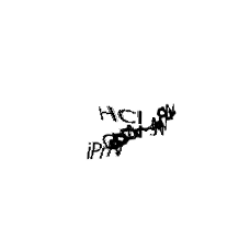 Cc1ccc2c(-c3nnc(SCCCN4CCc5cc6nc(C(C)C)oc6cc5CC4)n3C)cccc2n1.Cl